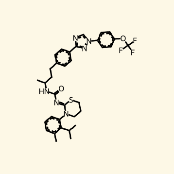 Cc1cccc(N2CCCS/C2=N\C(=O)NC(C)CCc2ccc(-c3ncn(-c4ccc(OC(F)(F)F)cc4)n3)cc2)c1C(C)C